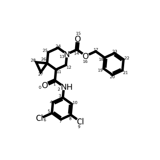 O=C(Nc1cc(Cl)cc(Cl)c1)C1CN(C(=O)OCc2ccccc2)CCC12CC2